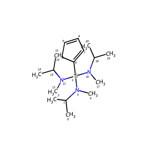 CC(C)[N](C)[Ti]([C]1=CC=CC1)([N](C)C(C)C)[N](C)C(C)C